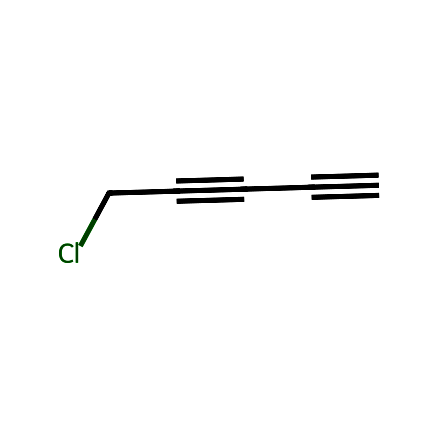 C#CC#CCCl